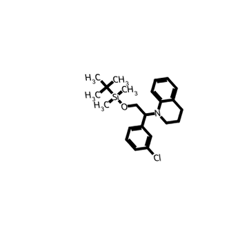 CC(C)(C)[Si](C)(C)OCC(c1cccc(Cl)c1)N1CCCc2ccccc21